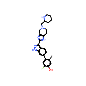 CCc1cc(O)c(F)cc1-c1ccc2c(-c3nc4c([nH]3)CCN(CC3CCCCN3)C4)n[nH]c2c1